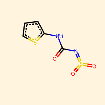 O=C(N=S(=O)=O)Nc1cccs1